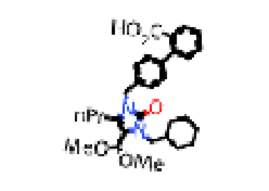 CCCc1c(C(OC)OC)n(CC2CCCCC2)c(=O)n1Cc1ccc(-c2ccccc2C(=O)O)cc1